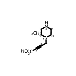 C.O=C(O)C#CCN1CCNCC1